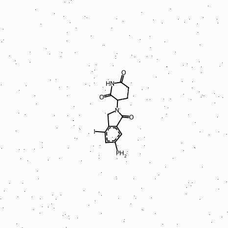 O=C1CCC(N2Cc3c(I)cc(P)cc3C2=O)C(=O)N1